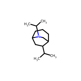 CC(C)C1CC2CCCC1CN2C(C)C